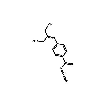 CC(=O)OC/C(=C\c1ccc(C(=O)N=[N+]=[N-])cc1)CO